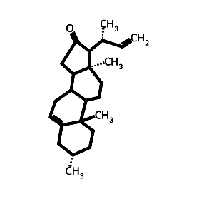 C=C[C@@H](C)C1C(=O)CC2C3CC=C4C[C@@H](C)CCC4(C)C3CC[C@@]21C